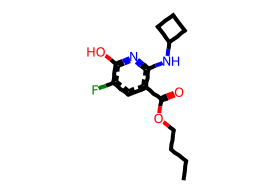 CCCCOC(=O)c1cc(F)c(O)nc1NC1CCC1